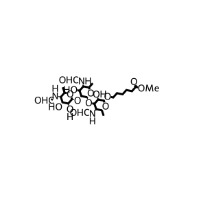 COC(=O)CCCCCO[C@H]1OC(C)[C@@H](NC=O)C(O[C@H]2OC(C)[C@@H](NC=O)C(O)[C@H]2O[C@H]2OC(C)[C@@H](NC=O)C(O)[C@H]2O)[C@H]1O